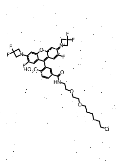 O=C(NCCOCCOCCCCCCCl)c1ccc(C(=O)O)c(-c2c3cc(F)c(=[N+]4CC(F)(F)C4)cc-3oc3cc(N4CC(F)(F)C4)c(F)cc23)c1